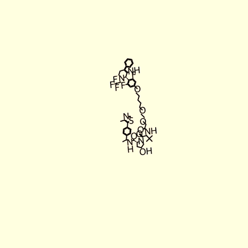 Cc1ncsc1-c1ccc(C(C)NC(=O)[C@@H]2C[C@@H](O)CN2C(=O)C(NC(=O)COCCOCCCCCOc2cc(F)c([C@@H]3c4[nH]c5ccccc5c4C[C@@H](C)N3CC(F)(F)F)c(F)c2)C(C)(C)C)cc1